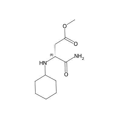 COC(=O)C[C@@H](NC1CCCCC1)C(N)=O